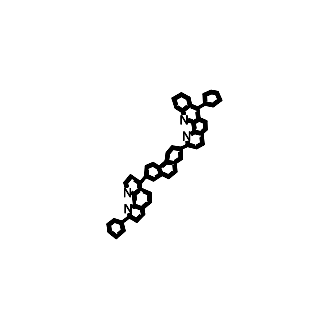 c1ccc(-c2ccc3ccc4c(-c5ccc6c(ccc7cc(-c8ccc9ccc%10c(-c%11ccccc%11)c%11ccccc%11nc%10c9n8)ccc76)c5)ccnc4c3n2)cc1